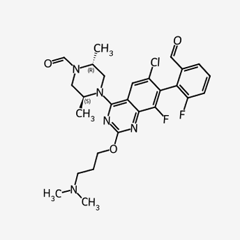 C[C@@H]1CN(c2nc(OCCCN(C)C)nc3c(F)c(-c4c(F)cccc4C=O)c(Cl)cc23)[C@@H](C)CN1C=O